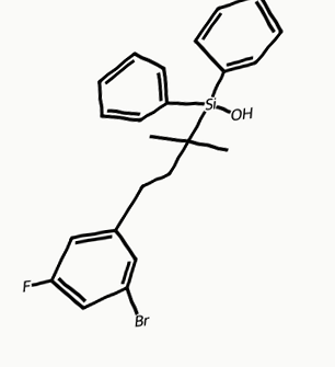 CC(C)(CCc1cc(F)cc(Br)c1)[Si](O)(c1ccccc1)c1ccccc1